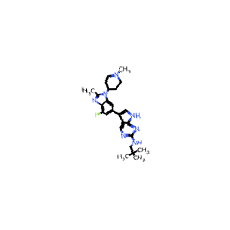 Cc1nc2c(F)cc(-c3c[nH]c4nc(NCC(C)(C)C)ncc34)cc2n1C1CCN(C)CC1